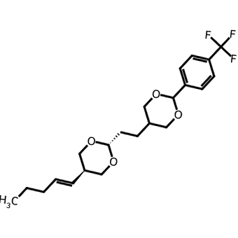 CCC/C=C/[C@H]1CO[C@H](CCC2COC(c3ccc(C(F)(F)F)cc3)OC2)OC1